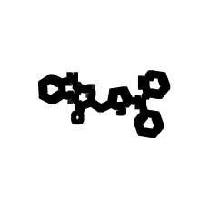 O=C1C(Cc2ccc(N(c3ccccc3)c3ccccn3)s2)Sc2nc3ccccc3n21